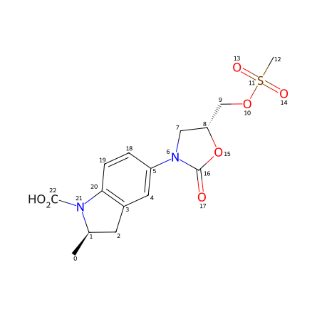 C[C@@H]1Cc2cc(N3C[C@H](COS(C)(=O)=O)OC3=O)ccc2N1C(=O)O